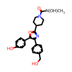 CN(O)C(=O)N1CCC(c2nc(-c3ccc(CO)cc3)c(-c3ccc(O)cc3)o2)CC1